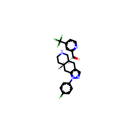 O=C(c1cc(C(F)(F)F)ccn1)[C@@]12CNCC[C@H]1Cc1c(cnn1-c1ccc(F)cc1)C2